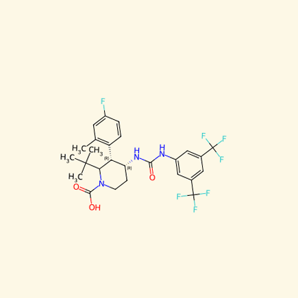 Cc1cc(F)ccc1[C@H]1C(C(C)(C)C)N(C(=O)O)CC[C@H]1NC(=O)Nc1cc(C(F)(F)F)cc(C(F)(F)F)c1